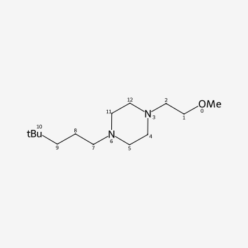 COCCN1CCN(CCCC(C)(C)C)CC1